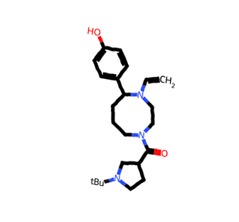 C=CN1CCN(C(=O)C2CCN(C(C)(C)C)C2)CCCC1c1ccc(O)cc1